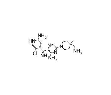 CC1(CN)CCN(c2cnc(C(=N)C3=CC(N)NC=C3Cl)c(N)n2)CC1